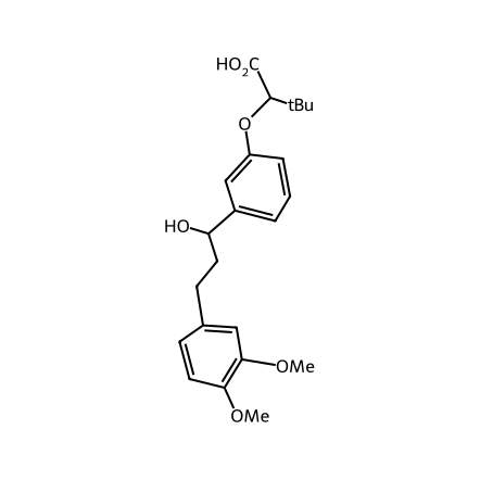 COc1ccc(CCC(O)c2cccc(OC(C(=O)O)C(C)(C)C)c2)cc1OC